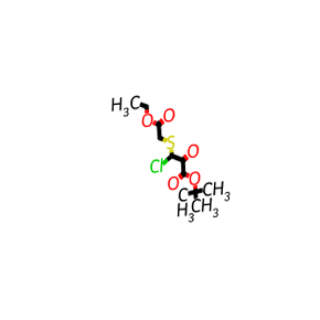 CCOC(=O)CSC(Cl)C(=O)C(=O)OC(C)(C)C